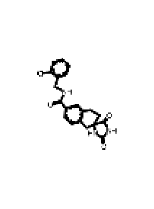 O=C1NC(=O)C2(CCc3cc(C(=O)NCc4ccccc4Cl)ccc3C2)N1